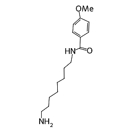 COc1ccc(C(=O)NCCCCCCCCN)cc1